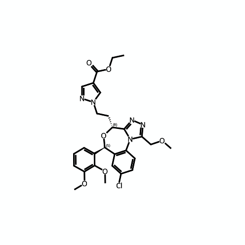 CCOC(=O)c1cnn(CC[C@H]2O[C@H](c3cccc(OC)c3OC)c3cc(Cl)ccc3-n3c(COC)nnc32)c1